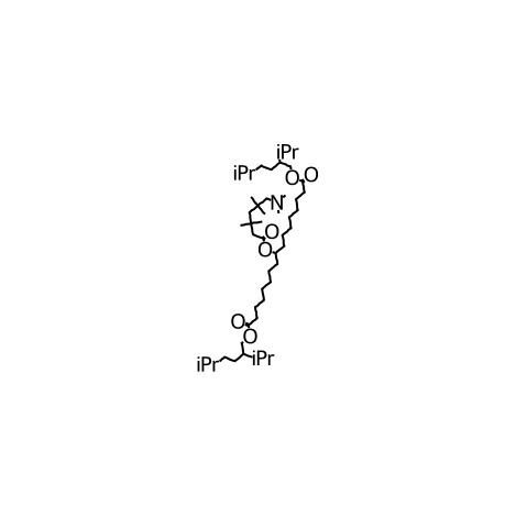 CC(C)CCC(COC(=O)CCCCCCCC(CCCCCCCC(=O)OCC(CCC(C)C)C(C)C)OC(=O)CC(C)(C)CC(C)(C)CN(C)C)C(C)C